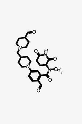 CN(C(=O)c1cc(N2CCC(CN3CCC(C=O)CC3)CC2)ccc1C=O)C1CCC(=O)NC1=O